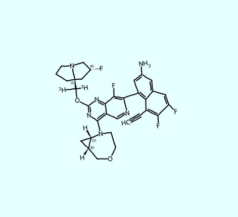 [2H]C([2H])(Oc1nc(N2CCOC[C@@H]3C[C@@H]32)c2cnc(-c3cc(N)cc4cc(F)c(F)c(C#C)c34)c(F)c2n1)[C@@]12CCCN1C[C@H](F)C2